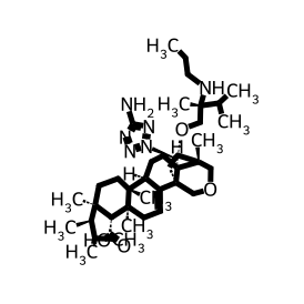 CCCN[C@@](C)(CO[C@H]1[C@H](n2nnc(N)n2)C[C@@]23COC[C@]1(C)[C@@H]2CC[C@H]1C3=CC[C@@]2(C)[C@H](C(=O)O)[C@@](C)([C@H](C)C(C)C)CC[C@]12C)C(C)C